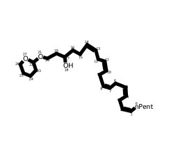 CCCCC/C=C\C/C=C\C/C=C\C/C=C\C/C=C\CCC(O)CCOC1CCCCO1